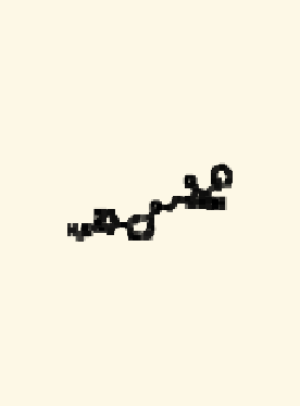 Cn1cc(-c2c[c]cc(OCCNC(=O)C(O)N3CCCC3)c2)cn1